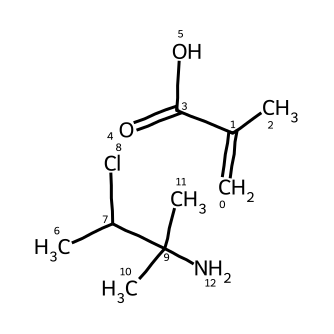 C=C(C)C(=O)O.CC(Cl)C(C)(C)N